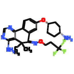 CC1(C)/C(=N/OCCC(F)(F)F)c2cc(O[C@H]3CC[C@@H](N)CC3)ccc2-c2ncnc(N)c21